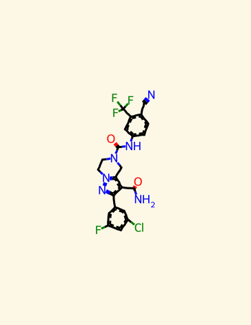 N#Cc1ccc(NC(=O)N2CCn3nc(-c4cc(F)cc(Cl)c4)c(C(N)=O)c3C2)cc1C(F)(F)F